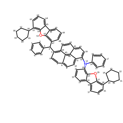 c1ccc(C(c2ccc3ccc4c(N(c5ccccc5)c5cccc6c5oc5c(C7CCCCC7)cccc56)ccc5ccc2c3c54)c2cccc3c2oc2c(C4CCCCC4)cccc23)cc1